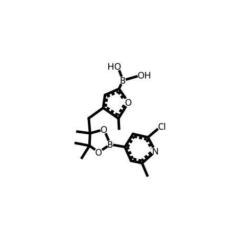 Cc1cc(B2OC(C)(C)C(C)(Cc3cc(B(O)O)oc3C)O2)cc(Cl)n1